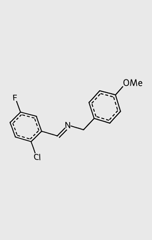 COc1ccc(C/N=C/c2cc(F)ccc2Cl)cc1